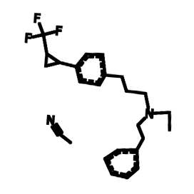 CC#N.CCN(CCCc1ccc(C2CC2C(F)(F)F)cc1)CCc1ccccc1